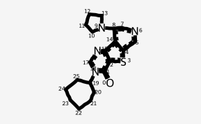 O=c1c2sc3cncc(N4CCCC4)c3c2ncn1C1CCCCCC1